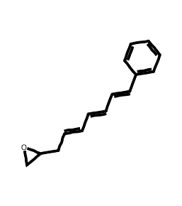 C(=CC=Cc1ccccc1)C=CCC1CO1